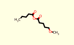 CCCCC(=O)OC(=O)CCCCOC